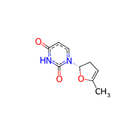 CC1=CC[C@@H](n2ccc(=O)[nH]c2=O)O1